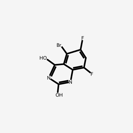 Oc1nc(O)c2c(Br)c(F)cc(F)c2n1